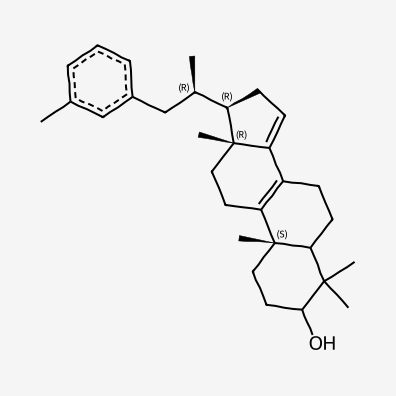 Cc1cccc(C[C@@H](C)[C@H]2CC=C3C4=C(CC[C@@]32C)[C@@]2(C)CCC(O)C(C)(C)C2CC4)c1